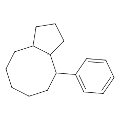 c1ccc(C2CCCCCC3CCC[C]32)cc1